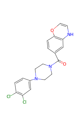 O=C(c1ccc2c(c1)NC=CO2)N1CCN(c2ccc(Cl)c(Cl)c2)CC1